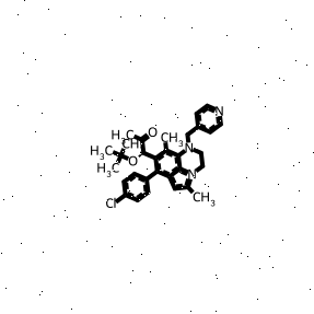 CC(=O)[C@@H](OC(C)(C)C)c1c(C)c2c3c(cc(C)n3CCN2Cc2ccncc2)c1-c1ccc(Cl)cc1